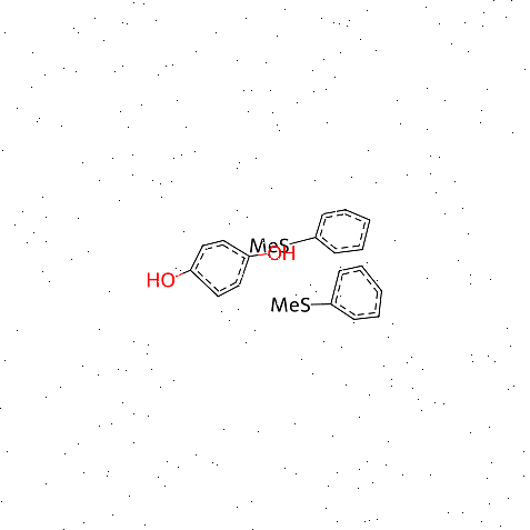 CSc1ccccc1.CSc1ccccc1.Oc1ccc(O)cc1